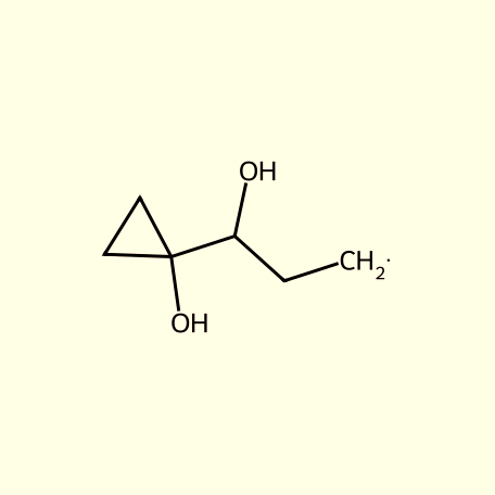 [CH2]CC(O)C1(O)CC1